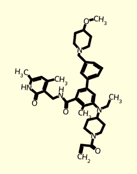 C=CC(=O)N1CCC(N(CC)c2cc(-c3cccc(CN4CCC(OC)CC4)c3)cc(C(=O)NCc3c(C)cc(C)[nH]c3=O)c2C)CC1